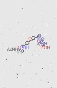 CC(=O)N[C@H](C(=O)N1CCC[C@H]1c1ncc(-c2ccc(-c3cc4cc(-c5cnc([C@@H]6CCCN6C(=O)[C@@H](NC(=O)CO)C(C)C)[nH]5)ccc4o3)cc2)[nH]1)C(C)C